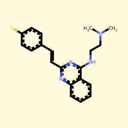 CN(C)CCNc1nc(C=Cc2ccc(F)cc2)nc2ccccc12